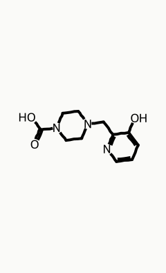 O=C(O)N1CCN(Cc2ncccc2O)CC1